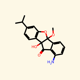 COC12Oc3cc(C(C)C)ccc3C1(O)C(=O)c1c(N)cccc12